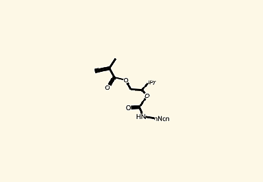 C=C(C)C(=O)OCC(OC(=O)NCCCCCCCCC)C(C)C